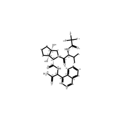 CC(C)[C@H](NC(=O)C(F)(F)F)C(=O)N1C[C@@H]2CCC[C@@H]2[C@H]1C(=O)NC(C(N)=O)c1nncc2ccccc12